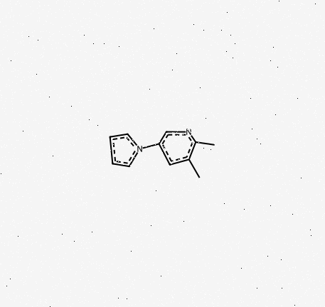 Cc1cc(-n2cccc2)cnc1C